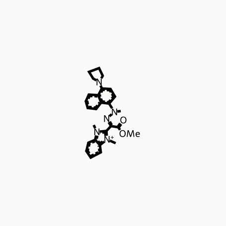 COC(=O)/C(=N\N(C)c1ccc(N2CCCC2)c2ccccc12)c1n(C)c2ccccc2[n+]1C